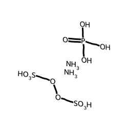 N.N.O=P(O)(O)O.O=S(=O)(O)OOS(=O)(=O)O